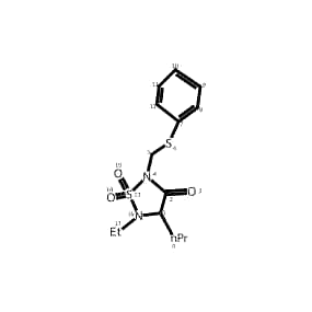 CCCC1C(=O)N(CSc2ccccc2)S(=O)(=O)N1CC